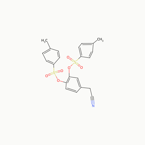 Cc1ccc(S(=O)(=O)Oc2ccc(CC#N)cc2OS(=O)(=O)c2ccc(C)cc2)cc1